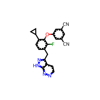 N#Cc1cc(C#N)cc(Oc2c(C3CC3)ccc(Cc3n[nH]c4nnccc34)c2F)c1